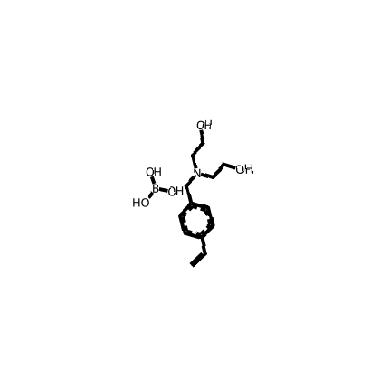 C=Cc1ccc(CN(CCO)CCO)cc1.OB(O)O